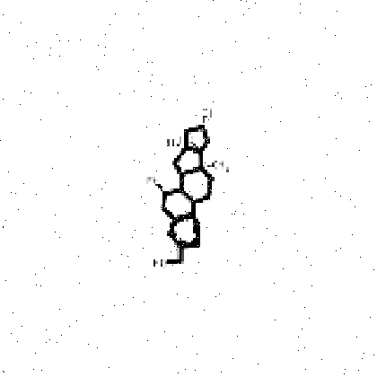 CC[C@@H]1Cc2cc(CO)ccc2C2CC[C@@]3(C)C(C[C@H]4C[C@H](O)C[C@]43O)C21